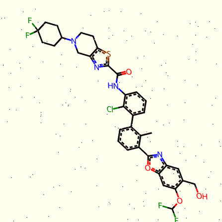 Cc1c(-c2nc3cc(CO)c(OC(F)F)cc3o2)cccc1-c1cccc(NC(=O)c2nc3c(s2)CCN(C2CCC(F)(F)CC2)C3)c1Cl